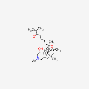 C=C(C)C(=O)CCCC[Si](C)(C)O[Si](C)(C)C[Si](C)(C)CCCN(CCO)C(C)=O